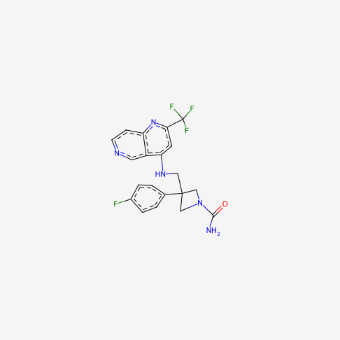 NC(=O)N1CC(CNc2cc(C(F)(F)F)nc3ccncc23)(c2ccc(F)cc2)C1